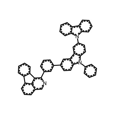 c1ccc(-n2c3ccc(-c4cccc(-c5ncc6cccc7c6c5-c5ccccc5-7)c4)cc3c3cc(-n4c5ccccc5c5ccccc54)ccc32)cc1